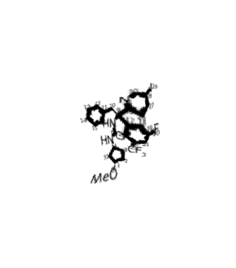 CO[C@H]1CC[C@@H](NC(=O)N[C@@](Cc2ccccc2)(c2cc(F)cc(C(F)(F)F)c2)c2ccc(I)cn2)C1